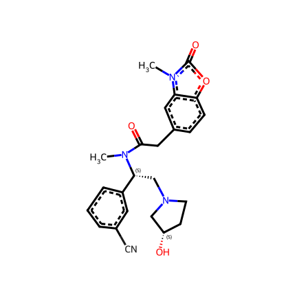 CN(C(=O)Cc1ccc2oc(=O)n(C)c2c1)[C@H](CN1CC[C@H](O)C1)c1cccc(C#N)c1